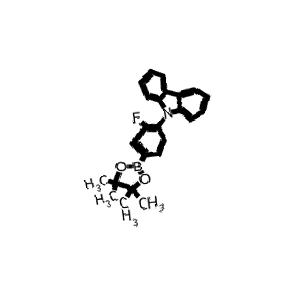 CC1(C)OB(c2ccc(-n3c4ccccc4c4ccccc43)c(F)c2)OC1(C)C